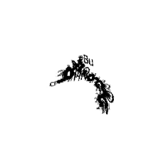 Cc1ccc(-n2nc(C(C)(C)C)cc2NC(=O)Nc2ccc(CC3CCN(C(=O)c4cccnc4)CC3)cc2)cc1